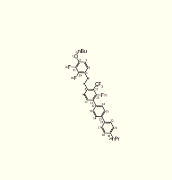 CCCCOc1ccc(CCc2ccc(-c3ccc(-c4ccc(CCC)cc4)cc3)c(F)c2C(F)(F)F)c(F)c1F